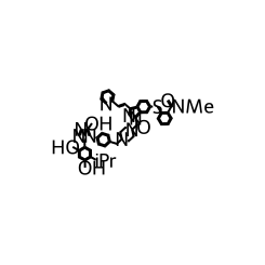 CNC(=O)c1ccccc1Sc1ccc2c(C=Cc3ccccn3)nn(C(=O)N3CCN(Cc4ccc(-n5c(O)nnc5-c5cc(C(C)C)c(O)cc5O)cc4)CC3)c2c1